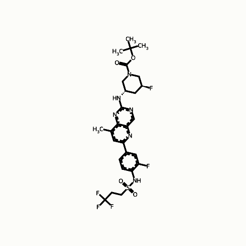 Cc1cc(-c2ccc(NS(=O)(=O)CCC(F)(F)F)c(F)c2)nc2cnc(N[C@H]3C[C@H](F)CN(C(=O)OC(C)(C)C)C3)nc12